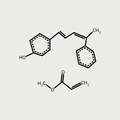 C=CC(=O)OC.CC(=CC=Cc1ccc(O)cc1)c1ccccc1